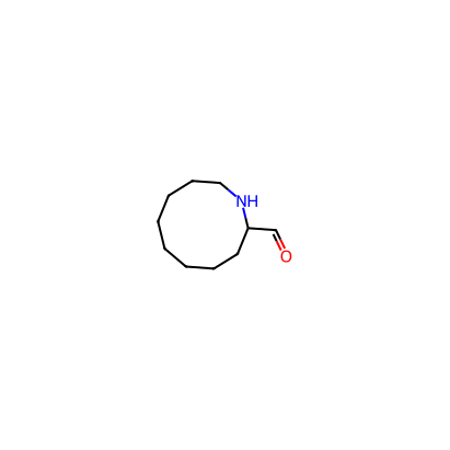 O=CC1CCCCCCCCN1